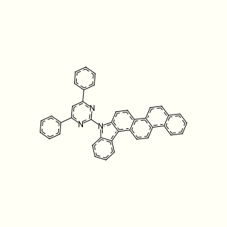 c1ccc(-c2cc(-c3ccccc3)nc(-n3c4ccccc4c4c5ccc6c7ccccc7ccc6c5ccc43)n2)cc1